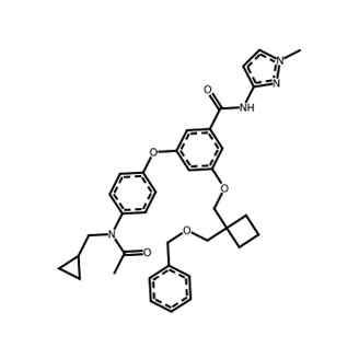 CC(=O)N(CC1CC1)c1ccc(Oc2cc(OCC3(COCc4ccccc4)CCC3)cc(C(=O)Nc3ccn(C)n3)c2)cc1